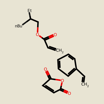 C=CC(=O)OCC(CC)CCCC.C=Cc1ccccc1.O=C1C=CC(=O)O1